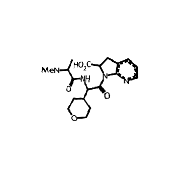 CNC(C)C(=O)NC(C(=O)N1c2ncccc2CC1C(=O)O)C1CCOCC1